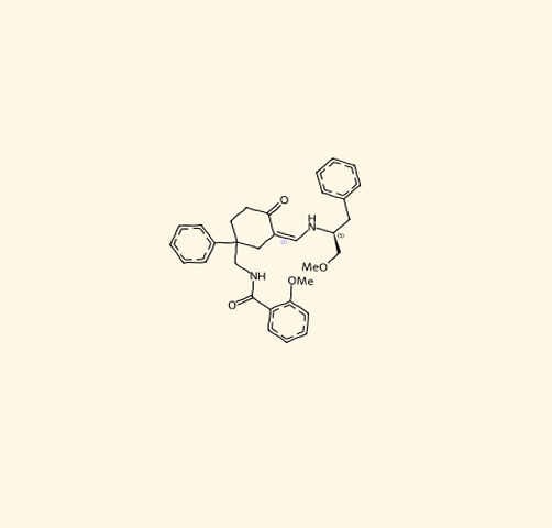 COC[C@H](Cc1ccccc1)N/C=C1/CC(CNC(=O)c2ccccc2OC)(c2ccccc2)CCC1=O